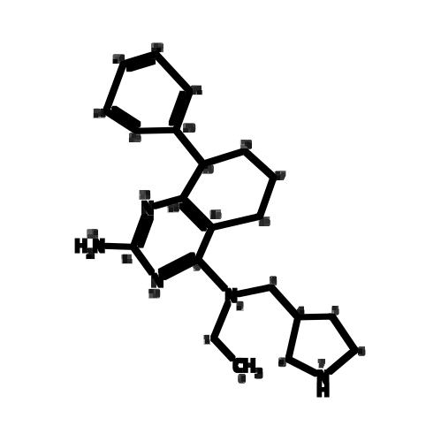 CCN(CC1CCNC1)c1nc(N)nc2c1CCCC2c1ccccc1